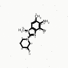 Cc1cc2c(nc(N3CCCC(F)C3)n2C)c(Br)c1N